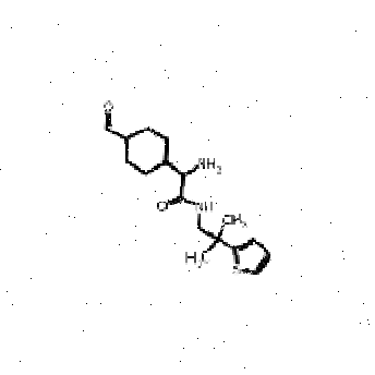 CC(C)(CNC(=O)C(N)C1CCC(C=O)CC1)c1cccs1